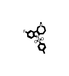 Cc1ccc(S(=O)(=O)n2c3c(c4cc(F)ccc42)CN(C)CCC3)cc1